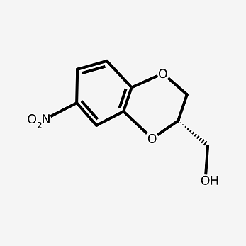 O=[N+]([O-])c1ccc2c(c1)O[C@@H](CO)CO2